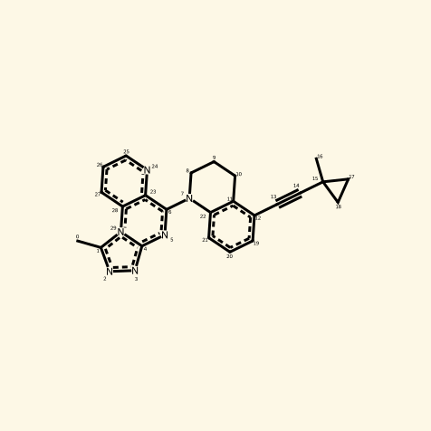 Cc1nnc2nc(N3CCCc4c(C#CC5(C)CC5)cccc43)c3ncccc3n12